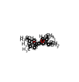 Cc1ccc(N(c2ccc(C(C)(C)C)cc2-c2ccccc2)c2ccc3c4cc5c(cc4n4c6ccccc6c2c34)c2ccc(N(c3cccc(C(C)(C)C)c3)c3ccc(C(C)(C)C)cc3-c3ccccc3)c3c4ccccc4n5c23)c(C)c1